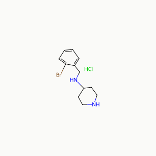 Brc1ccccc1CNC1CCNCC1.Cl